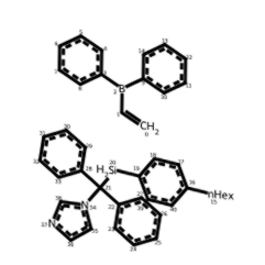 C=CB(c1ccccc1)c1ccccc1.CCCCCCc1ccc([SiH2]C(c2ccccc2)(c2ccccc2)n2ccnc2)cc1